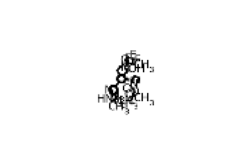 Cc1[nH]c2ncc(-c3cc4c(c([C@@H]5CCCN5C(=O)OC(C)(C)C)c3)CN(C(=O)C(C)(O)C(F)(F)F)CC4)cc2c1C